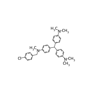 CN(C)c1ccc(C(c2ccc(N(C)C)cc2)c2ccc(N(C)Cc3ccc(Cl)cc3)cc2)cc1